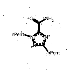 CCCCCc1nc(C(N)=O)n(CCCCC)n1